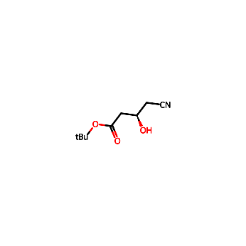 CC(C)(C)OC(=O)C[C@H](O)CC#N